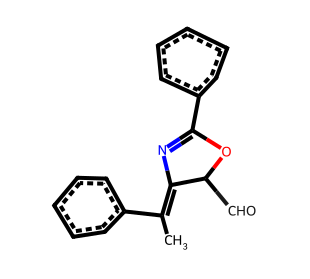 C/C(=C1/N=C(c2ccccc2)OC1C=O)c1ccccc1